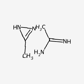 CC(=N)N.CC1=NN1